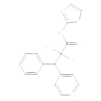 CC(C)(C(=O)Nc1nccs1)C(c1ccccc1)c1ccncc1